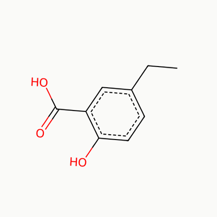 CCc1ccc(O)c(C(=O)O)c1